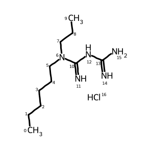 CCCCCCN(CCC)C(=N)NC(=N)N.Cl